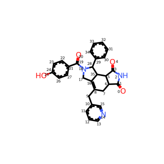 O=C1NC(=O)C2C1CC(Cc1cccnc1)=C1CN(C(=O)c3ccc(O)cc3)C(c3ccccc3)C12